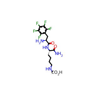 NC(=O)[C@H](CCCCNC(=O)O)NC(=O)[C@@H](N)Cc1c(F)c(F)c(F)c(F)c1F